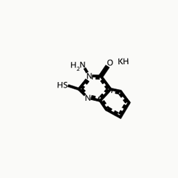 Nn1c(S)nc2ccccc2c1=O.[KH]